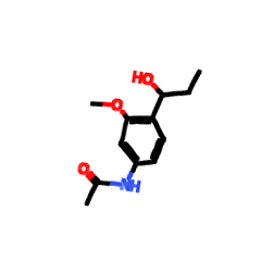 CCC(O)c1ccc(NC(C)=O)cc1OC